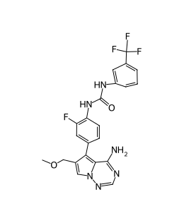 COCc1cn2ncnc(N)c2c1-c1ccc(NC(=O)Nc2cccc(C(F)(F)F)c2)c(F)c1